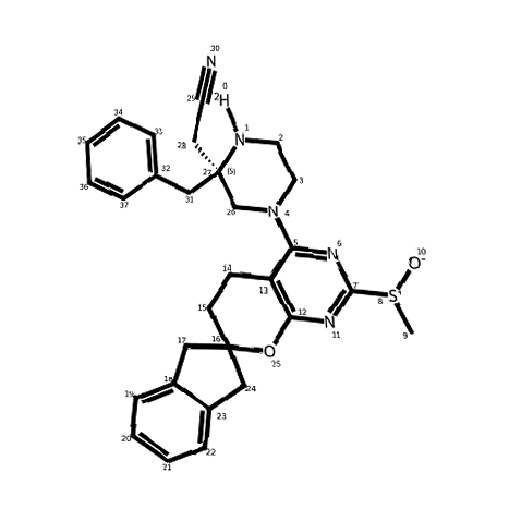 [2H]N1CCN(c2nc([S+](C)[O-])nc3c2CCC2(Cc4ccccc4C2)O3)C[C@@]1(CC#N)Cc1ccccc1